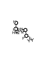 CC(C)N(Cc1cc(F)cc(-c2cccc3[nH]c(-c4n[nH]c5ncc(-c6cccnc6)cc45)nc23)c1)C(C)C